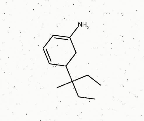 CCC(C)(CC)C1C=CC=C(N)C1